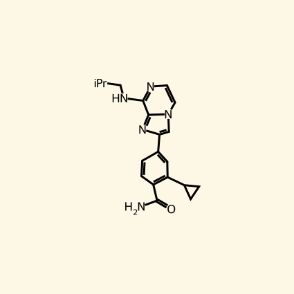 CC(C)CNc1nccn2cc(-c3ccc(C(N)=O)c(C4CC4)c3)nc12